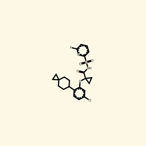 O=C(NS(=O)(=O)c1cccc(F)n1)C1(Oc2cc(Cl)ccc2C2CCC3(CC2)CC3)CC1